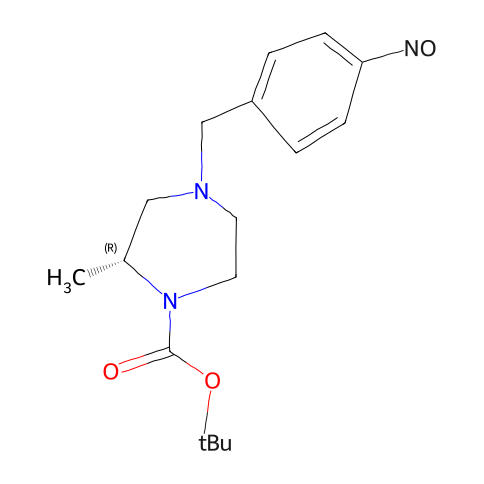 C[C@@H]1CN(Cc2ccc(N=O)cc2)CCN1C(=O)OC(C)(C)C